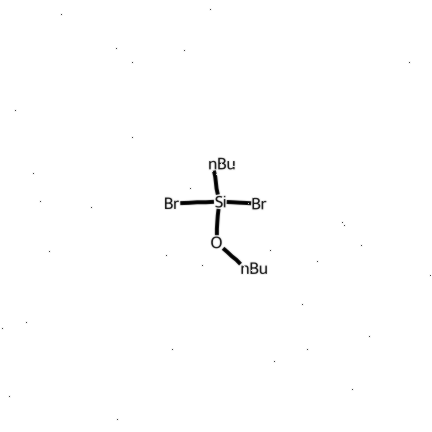 CCCCO[Si](Br)(Br)CCCC